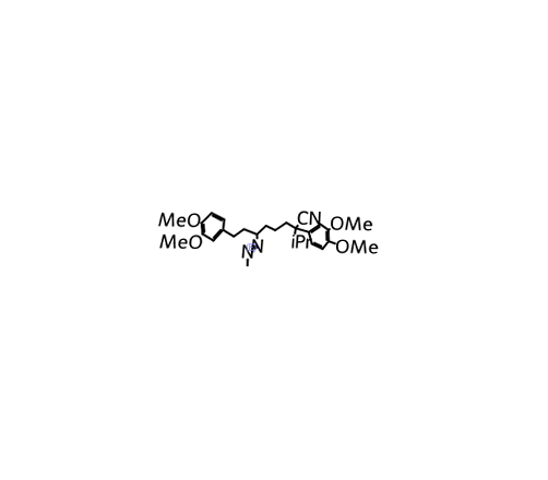 C/N=N/C(CCCC(C#N)(c1ccc(OC)c(OC)c1)C(C)C)CCc1ccc(OC)c(OC)c1